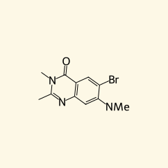 CNc1cc2nc(C)n(C)c(=O)c2cc1Br